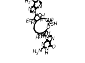 CC[C@@H]1[C@@H]2CCC[C@H]3O[C@@H](n4cnc5c(=O)[nH]c(N)nc54)[C@H](OP(=O)(S)OC[C@H]2O[C@H]1n1cnc2c(N)ncnc21)[C@@H]3F